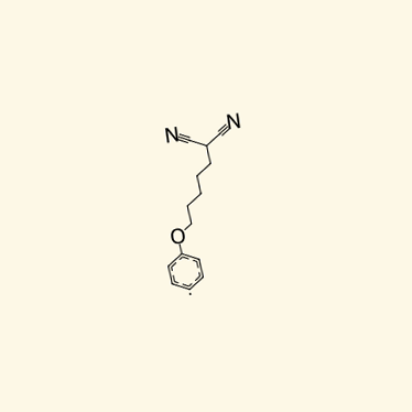 N#CC(C#N)CCCCCOc1cc[c]cc1